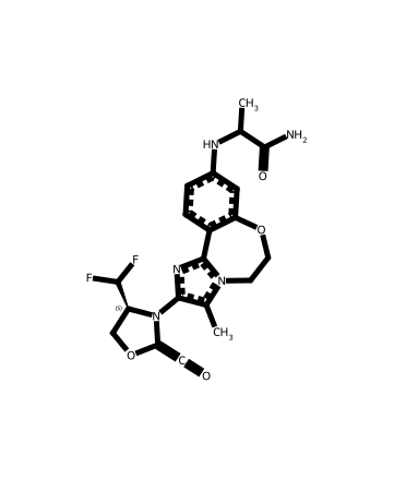 Cc1c(N2C(=C=O)OC[C@H]2C(F)F)nc2n1CCOc1cc(NC(C)C(N)=O)ccc1-2